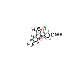 COc1ccc2c(c1)C(=O)C(C)=C(Cc1ccc(C(F)(F)F)cc1)C2=O